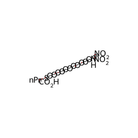 CCCC(CCCSCCOCCOCCOCCOCCOCCOCCOCCOCCOCCOCCOCCNc1ccc([N+](=O)[O-])cc1[N+](=O)[O-])C(=O)O